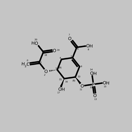 C=C(O[C@@H]1CC(C(=O)O)=C[C@@H](OP(=O)(O)O)[C@H]1O)C(=O)O